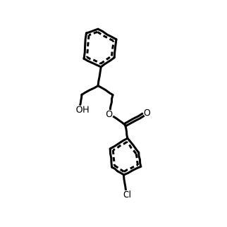 O=C(OCC(CO)c1ccccc1)c1ccc(Cl)cc1